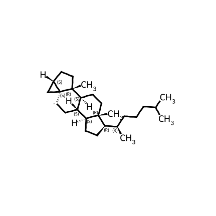 CC(C)CCC[C@@H](C)[C@H]1CC[C@H]2[C@@H]3C[CH][C@]45C[C@@H]4CC[C@]5(C)[C@H]3CC[C@]12C